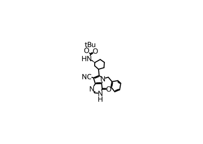 CC(C)(C)OC(=O)N[C@H]1CCCC(c2c(C#N)c3nc[nH]c(=O)c3n2Cc2ccccc2)C1